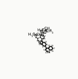 CN(C)CCCn1nc2cc(-c3ccnc4ccccc34)ccc2c1C1CCN(C(=O)OC(C)(C)C)CC1